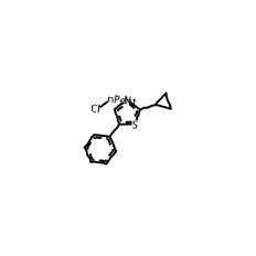 CCCCCCl.c1ccc(-c2cnc(C3CC3)s2)cc1